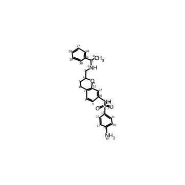 C[C@@H](NCC1CCc2ccc(NS(=O)(=O)c3ccc(N)cc3)cc2O1)c1ccccc1